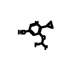 Oc1cnc(C2CC2)c(OC(F)F)c1